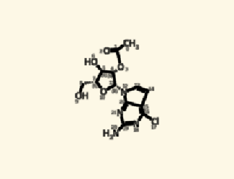 CC(=O)O[C@H]1[C@H](O)[C@@H](CO)O[C@H]1n1ccc2c(Cl)nc(N)nc21